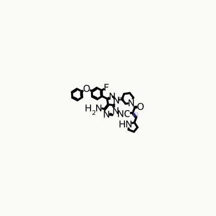 N#C/C(=C\C1CCCN1)C(=O)N1CCC[C@H](n2nc(-c3ccc(Oc4ccccc4)cc3F)c3c(N)ncnc32)C1